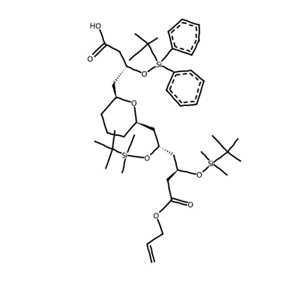 C=CCOC(=O)C[C@@H](C[C@@H](C[C@H]1CCC[C@@H](C[C@H](CC(=O)O)O[Si](c2ccccc2)(c2ccccc2)C(C)(C)C)O1)O[Si](C)(C)C(C)(C)C)O[Si](C)(C)C(C)(C)C